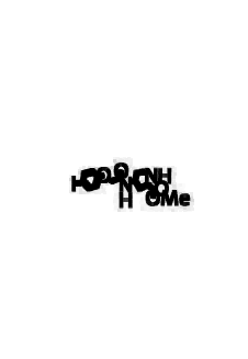 COC(=O)C1CC(NC(=O)COc2ccc(I)cc2)CCN1